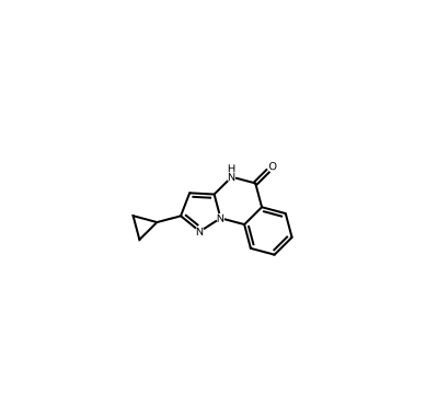 O=c1[nH]c2cc(C3CC3)nn2c2ccccc12